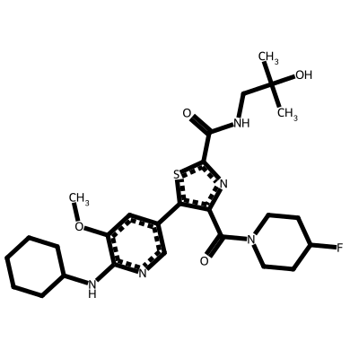 COc1cc(-c2sc(C(=O)NCC(C)(C)O)nc2C(=O)N2CCC(F)CC2)cnc1NC1CCCCC1